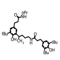 CCCNC(=O)CCc1cc(C(C)CCCNC(=O)CCc2cc(C(C)(C)C)c(O)c(C(C)(C)C)c2)c(O)c(C(C)(C)C)c1